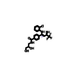 N=C(/C=C(\Nc1ccccc1Cl)c1ccc(C(=O)NCC(O)CO)cc1)C(F)(F)F